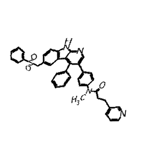 CN(C(=O)CCc1cccnc1)c1ccc(-c2cnc3[nH]c4ccc(CS(=O)(=O)c5ccccc5)cc4c3c2-c2ccccc2)cc1